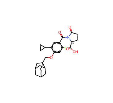 O=C(O)[C@@H]1CCC(=O)N1C(=O)c1cc(C2CC2)c(OCC23CC4CC(CC2C4)C3)cc1F